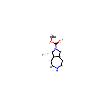 CCCCOC(=O)N1CC2CCNCCC2C1.Cl